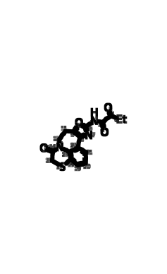 CCC(=O)C(=O)Nc1nc2c(o1)CCN1C(=O)CSc3cccc-2c31